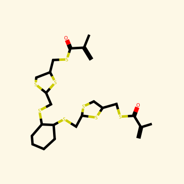 C=C(C)C(=O)SCC1CSC(CSC2CCCCC2SCC2SCC(CSC(=O)C(=C)C)S2)S1